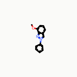 COc1cccc2cn(-c3ccccc3)nc12